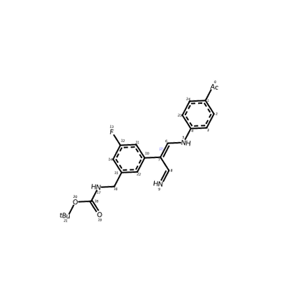 CC(=O)c1ccc(N/C=C(\C=N)c2cc(F)cc(CNC(=O)OC(C)(C)C)c2)cc1